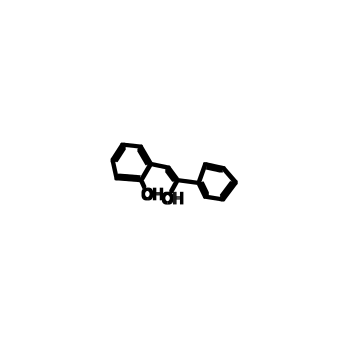 OC(=Cc1ccccc1O)c1ccccc1